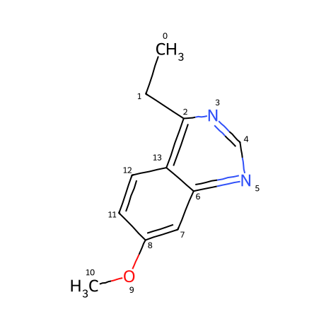 CCc1ncnc2cc(OC)ccc12